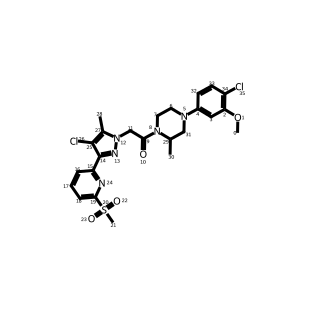 COc1cc(N2CCN(C(=O)Cn3nc(-c4cccc(S(C)(=O)=O)n4)c(Cl)c3C)C(C)C2)ccc1Cl